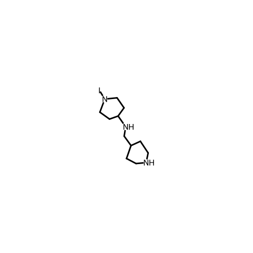 IN1CCC(NCC2CCNCC2)CC1